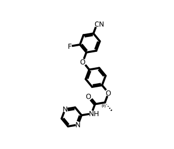 C[C@@H](Oc1ccc(Oc2ccc(C#N)cc2F)cc1)C(=O)Nc1cnccn1